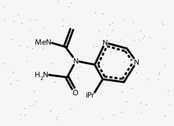 C=C(NC)N(C(N)=O)c1ncncc1C(C)C